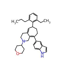 CCCc1cccc(CC)c1C1C=C2CCN(C3CCOCC3)CC2=C(c2ccc3[nH]ccc3c2)CC1